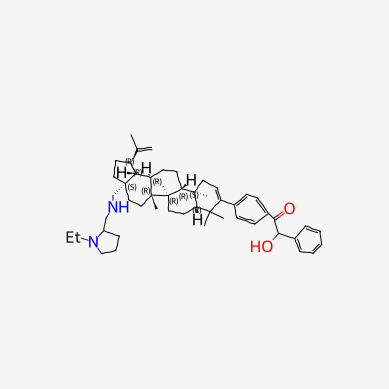 C=C(C)[C@@H]1CC[C@]2(CNCC3CCCN3CC)CC[C@]3(C)[C@H](CC[C@@H]4[C@@]5(C)CC=C(c6ccc(C(=O)C(O)c7ccccc7)cc6)C(C)(C)[C@@H]5CC[C@]43C)[C@@H]12